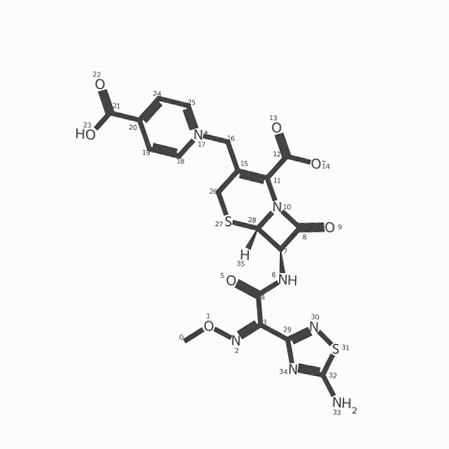 CO/N=C(\C(=O)N[C@@H]1C(=O)N2C(C(=O)[O-])=C(C[n+]3ccc(C(=O)O)cc3)CS[C@@H]12)c1nsc(N)n1